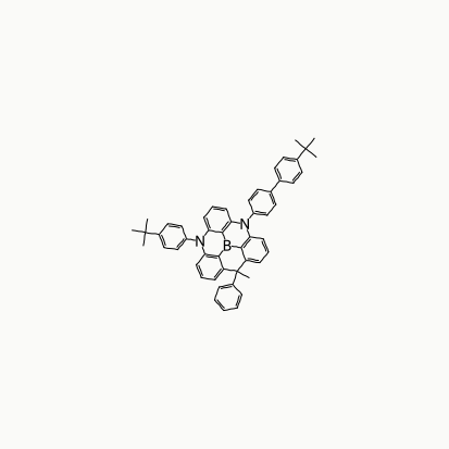 CC(C)(C)c1ccc(-c2ccc(N3c4cccc5c4B4c6c3cccc6C(C)(c3ccccc3)c3cccc(c34)N5c3ccc(C(C)(C)C)cc3)cc2)cc1